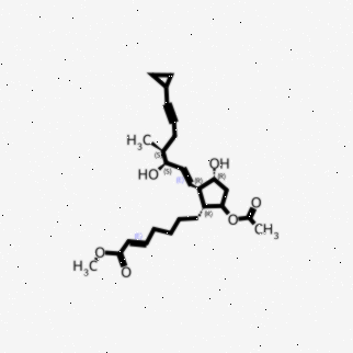 COC(=O)/C=C/CCCC[C@H]1C(OC(C)=O)C[C@@H](O)[C@@H]1/C=C/[C@@H](O)[C@@H](C)CC#CC1CC1